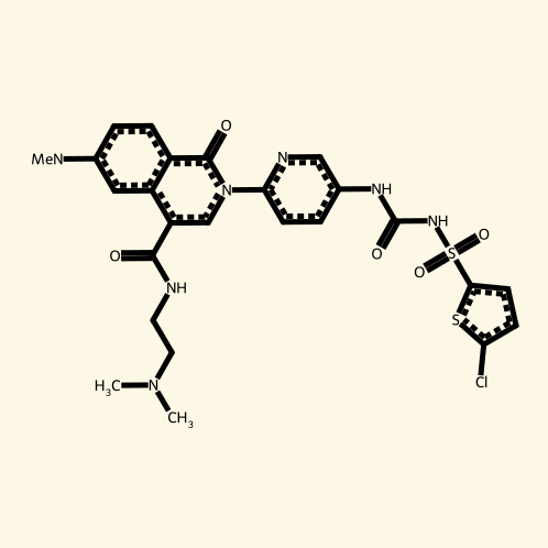 CNc1ccc2c(=O)n(-c3ccc(NC(=O)NS(=O)(=O)c4ccc(Cl)s4)cn3)cc(C(=O)NCCN(C)C)c2c1